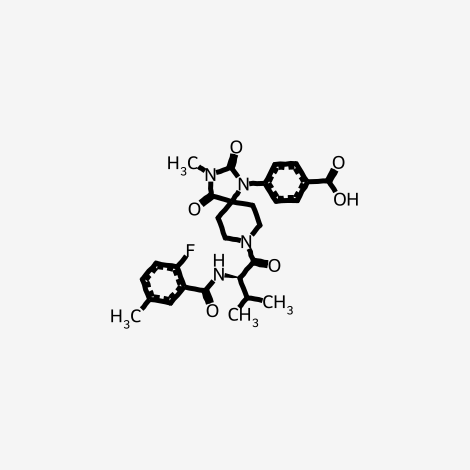 Cc1ccc(F)c(C(=O)N[C@@H](C(=O)N2CCC3(CC2)C(=O)N(C)C(=O)N3c2ccc(C(=O)O)cc2)C(C)C)c1